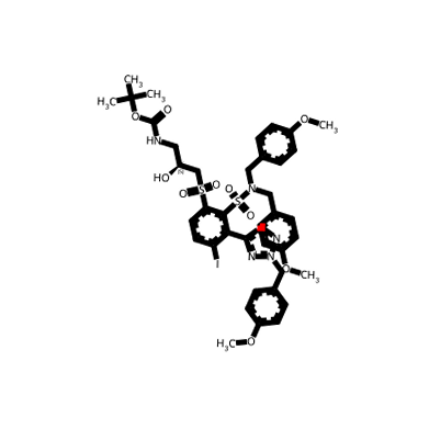 COc1ccc(CN(Cc2ccc(OC)cc2)S(=O)(=O)c2c(S(=O)(=O)C[C@@H](O)CNC(=O)OC(C)(C)C)ccc(I)c2-c2nnn(Cc3ccc(OC)cc3)n2)cc1